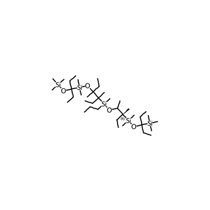 CCC[Si](C)(OC(C)[C@@](C)(CC)[Si](C)(C)OC(CC)(CC)[Si](C)(C)C)C(C)(CC)C(C)(CC)O[Si](C)(C)C(CC)(CC)O[Si](C)(C)C